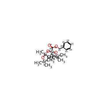 C[Si](C)(C)O[Si](C)(C)O[Si](C)(O[Si](C)(C)C)C(=O)OCc1ccccc1